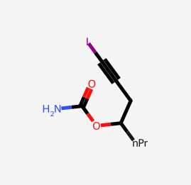 CCCC(CC#CI)OC(N)=O